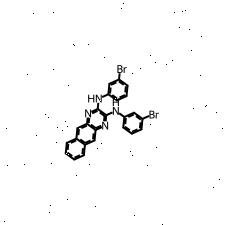 Brc1cccc(Nc2nc3cc4ccccc4cc3nc2Nc2cccc(Br)c2)c1